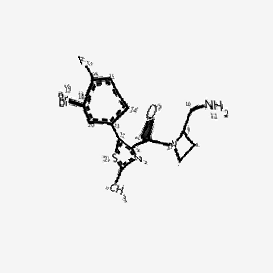 Cc1nc(C(=O)N2CCC2CN)c(-c2ccc(F)c(Br)c2)s1